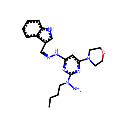 CCCCN(N)c1nc(N/N=C\c2c[nH]c3ccccc23)cc(N2CCOCC2)n1